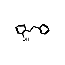 Oc1ccc[c]c1CCc1ccccc1